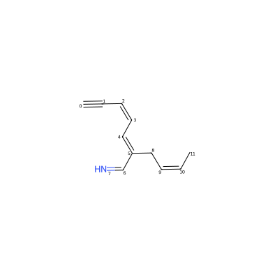 C#C/C=C\C=C(\C=N)C/C=C\C